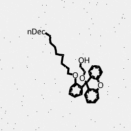 CCCCCCCCCCCCCCCCCCOc1ccccc1C1(OCCO)c2ccccc2Oc2ccccc21